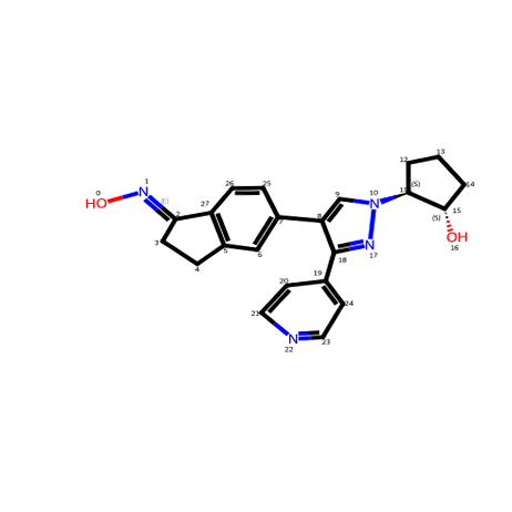 O/N=C1\CCc2cc(-c3cn([C@H]4CCC[C@@H]4O)nc3-c3ccncc3)ccc21